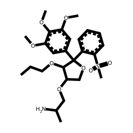 CCCOC1C(OCC(C)N)COC1(c1cc(OC)c(OC)c(OC)c1)c1ccccc1S(C)(=O)=O